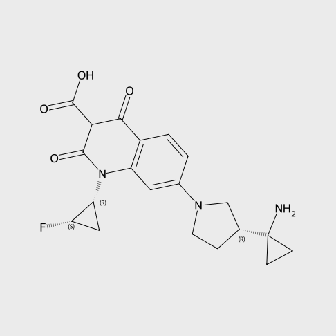 NC1([C@@H]2CCN(c3ccc4c(c3)N([C@@H]3C[C@@H]3F)C(=O)C(C(=O)O)C4=O)C2)CC1